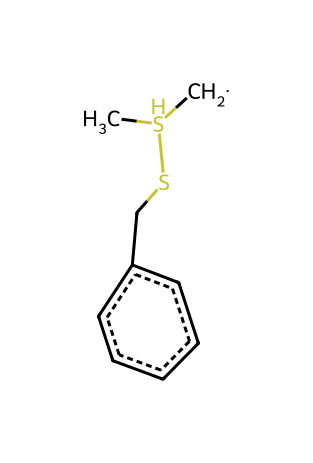 [CH2][SH](C)SCc1ccccc1